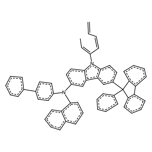 C=C/C=C\C(=C/C)n1c2ccc(N(c3ccc(-c4ccccc4)cc3)c3cccc4ccccc34)cc2c2cc(C3(c4ccccc4)c4ccccc4-c4ccccc43)ccc21